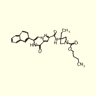 CCCCOC(=O)N1CC(CC)(NC(=O)c2cc3c(=O)[nH]c(-c4ccc5ccccc5c4)cn3n2)C1